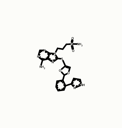 Nc1ncnc2c1nc(SC1=COC(c3ccccc3-c3cc[nH]n3)O1)n2CCCS(N)(=O)=O